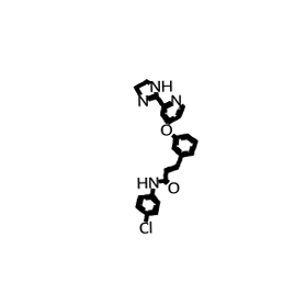 O=C(/C=C/c1cccc(Oc2ccnc(C3=NCCN3)c2)c1)Nc1ccc(Cl)cc1